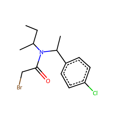 CCC(C)N(C(=O)CBr)C(C)c1ccc(Cl)cc1